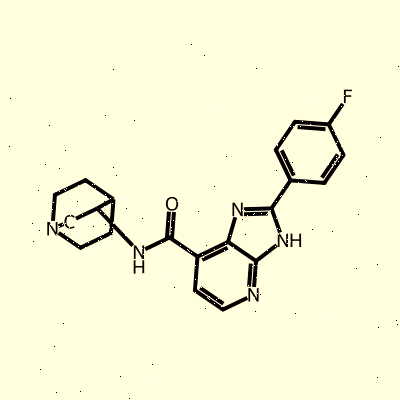 O=C(NC1CN2CCC1CC2)c1ccnc2[nH]c(-c3ccc(F)cc3)nc12